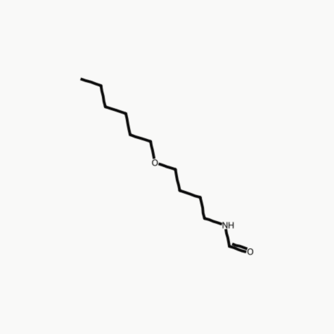 CCCCCCOCCCCNC=O